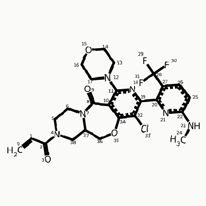 C=CC(=O)N1CCN2C(=O)c3c(N4CCOCC4)nc(-c4nc(NC)ccc4C(F)(F)F)c(Cl)c3OCC2C1